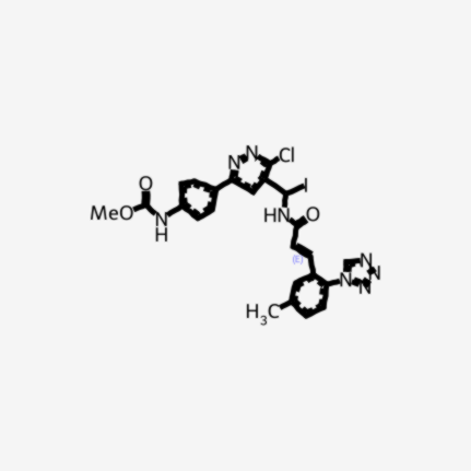 COC(=O)Nc1ccc(-c2cc(C(I)NC(=O)/C=C/c3cc(C)ccc3-n3cnnn3)c(Cl)nn2)cc1